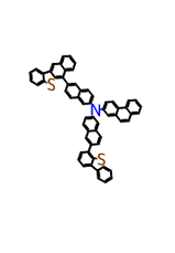 c1ccc2c(-c3ccc4cc(N(c5ccc6cc(-c7cccc8c7sc7ccccc78)ccc6c5)c5ccc6c(ccc7ccccc76)c5)ccc4c3)c3sc4ccccc4c3cc2c1